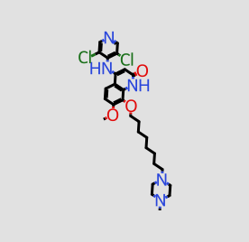 COc1ccc2c(Nc3c(Cl)cncc3Cl)cc(=O)[nH]c2c1OCCCCCCCCN1CCN(C)CC1